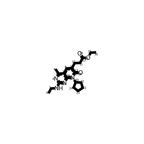 CCNc1nc(C)c2cc(CCC(=O)OCC)c(=O)n(C3CCCC3)c2n1